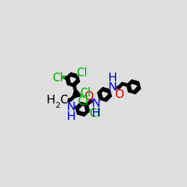 C=C(Nc1ccc(Cl)c(C(=O)Nc2ccc(NC(=O)Cc3ccccc3)cc2)c1)C1C(c2cc(Cl)cc(Cl)c2)C1(Cl)Cl